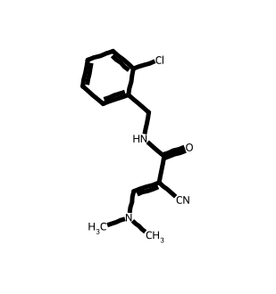 CN(C)C=C(C#N)C(=O)NCc1ccccc1Cl